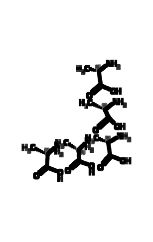 C[C@H](N)C(=O)O.C[C@H](N)C(=O)O.C[C@H](N)C(=O)O.C[C@H](N)C(=O)O.C[C@H](N)C(=O)O